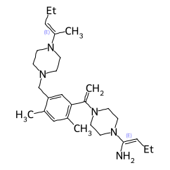 C=C(c1cc(CN2CCN(/C(C)=C/CC)CC2)c(C)cc1C)N1CCN(/C(N)=C/CC)CC1